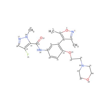 Cc1noc(C)c1-c1cc(NC(=O)c2c(F)cnn2C)ccc1OCCN1CCOCC1